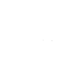 CCCCOC(=O)CC(O)C(=O)O